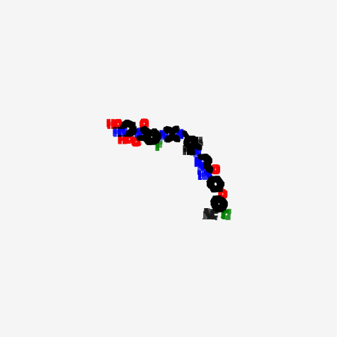 N#Cc1ccc(O[C@H]2CC[C@H](NC(=O)c3ccc(N4C[C@H]5C[C@@H](CN6CC7CN(c8cc9c(cc8F)C(=O)N(C8CCC(O)NC8O)C9=O)CC7C6)C[C@H]5C4)nn3)CC2)cc1Cl